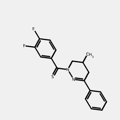 CC1CC(c2ccccc2)=NN(C(=S)c2ccc(F)c(F)c2)C1